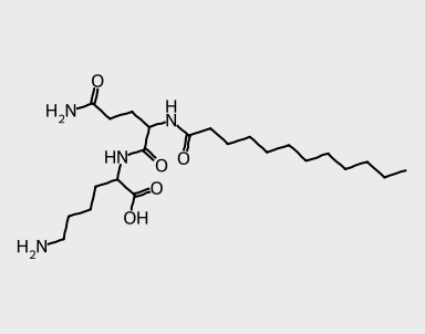 CCCCCCCCCCCC(=O)NC(CCC(N)=O)C(=O)NC(CCCCN)C(=O)O